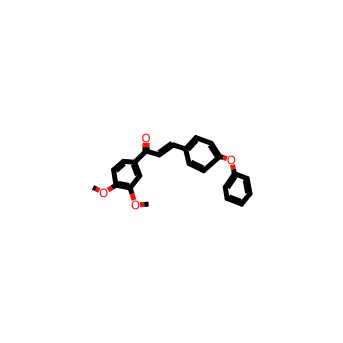 COc1ccc(C(=O)/C=C/c2ccc(Oc3ccccc3)cc2)cc1OC